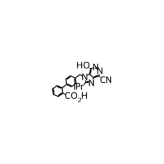 CC(C)c1nc2c(C#N)nnc(O)c2n1Cc1ccc(-c2ccccc2C(=O)O)cc1